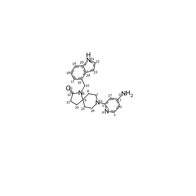 Nc1ccnc(N2CCC3(CCC(=O)N3Cc3cccc4[nH]ccc34)CC2)c1